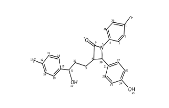 Cc1ccc(N2C(=O)C(CCC(O)c3ccc(F)cc3)C2c2ccc(O)cc2)cc1